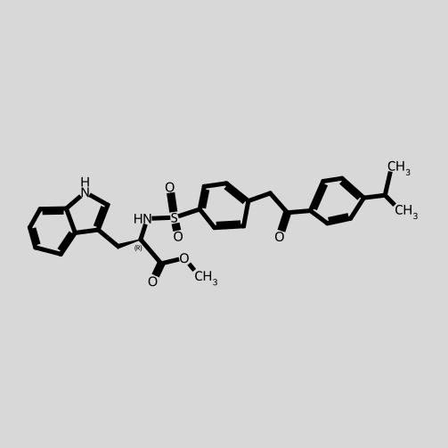 COC(=O)[C@@H](Cc1c[nH]c2ccccc12)NS(=O)(=O)c1ccc(CC(=O)c2ccc(C(C)C)cc2)cc1